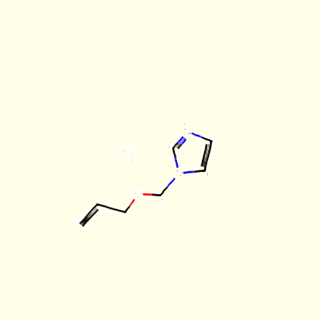 C=CCOCn1ccnc1.Cl